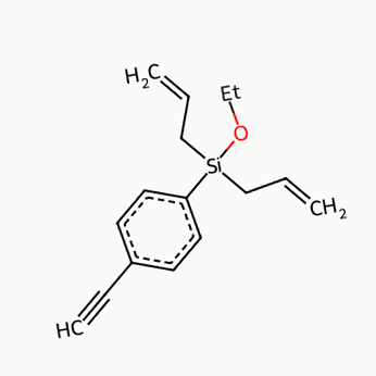 C#Cc1ccc([Si](CC=C)(CC=C)OCC)cc1